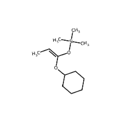 C/C=C(\OC1CCCCC1)O[Si](C)(C)C